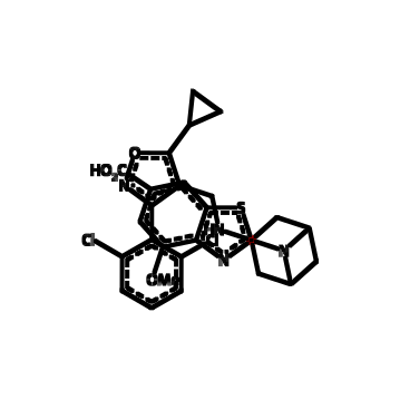 COc1cc(C(=O)O)cc2sc(N3C4CC(NCc5c(-c6c(Cl)cccc6Cl)noc5C5CC5)CC3C4)nc12